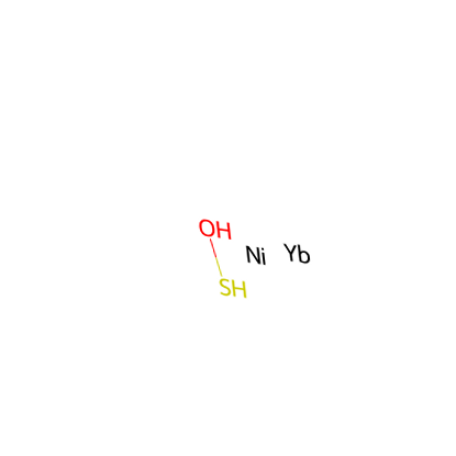 OS.[Ni].[Yb]